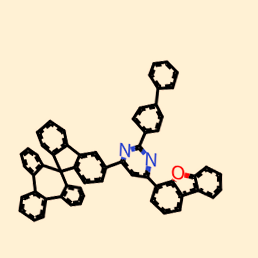 c1ccc(-c2ccc(-c3nc(-c4ccc5c(c4)-c4ccccc4C54c5ccccc5-c5ccccc5-c5ccccc54)cc(-c4cccc5c4oc4ccccc45)n3)cc2)cc1